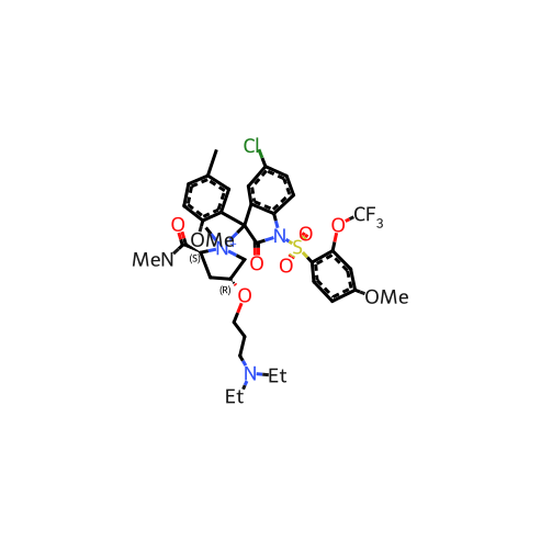 CCN(CC)CCCO[C@@H]1C[C@@H](C(=O)NC)[N+](C)(C2(c3cc(C)ccc3OC)C(=O)N(S(=O)(=O)c3ccc(OC)cc3OC(F)(F)F)c3ccc(Cl)cc32)C1